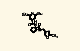 Cc1cc(CNC(=O)C2(NC(=O)c3cc(C(C)(C)C)nc(C(C)(C)C)c3)CCCC2)no1